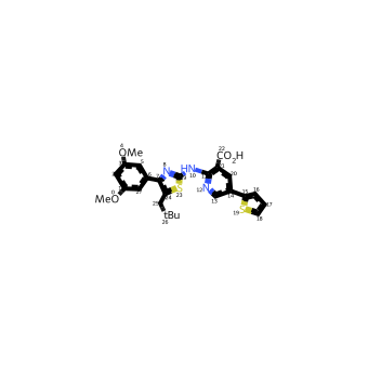 COc1cc(OC)cc(-c2nc(Nc3ncc(-c4cccs4)cc3C(=O)O)sc2CC(C)(C)C)c1